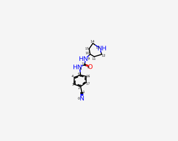 N#Cc1ccc(NC(=O)NC2CCNCC2)cc1